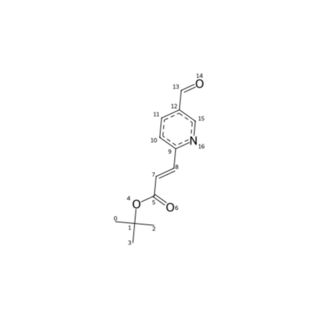 CC(C)(C)OC(=O)C=Cc1ccc(C=O)cn1